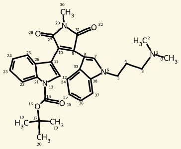 CN(C)CCCn1cc(C2=C(c3cn(C(=O)OC(C)(C)C)c4ccccc34)C(=O)N(C)C2=O)c2ccccc21